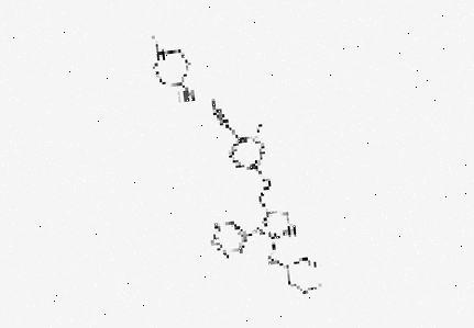 Cc1cc(OCc2cnc(SC3C=CCCC3)n2-c2cccnc2)ccc1C#CCNC1CCN(C)CC1